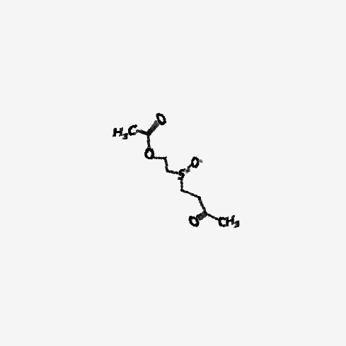 CC(=O)CC[S+]([O-])CCOC(C)=O